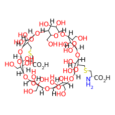 C[C@H](CSCC1O[C@@H]2O[C@@H]3C(CO)O[C@@H](O[C@@H]4C(CO)O[C@@H](O[C@@H]5C(CSC[C@@H](N)C(=O)O)O[C@@H](O[C@@H]6C(CO)O[C@H](O[C@@H]7C(CO)O[C@H](O[C@@H]8C(CO)O[C@@H](O[C@H]1[C@H](O)C2O)C(O)[C@H]8O)[C@@H](O)C7O)[C@@H](O)C6O)[C@@H](O)C5O)[C@@H](O)C4O)C(O)[C@H]3O)C(=O)O